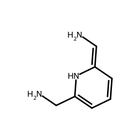 N/C=C1/C=CC=C(CN)N1